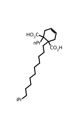 CCCC1(C(=O)O)CC=CCC1(CCCCCCCCCCC(C)C)C(=O)O